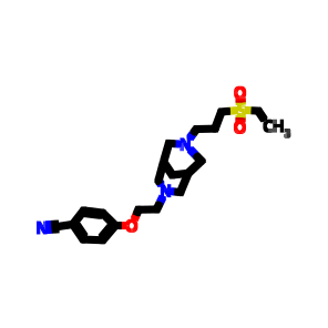 CCS(=O)(=O)CCCN1CC2CC(C1)CN(CCOc1ccc(C#N)cc1)C2